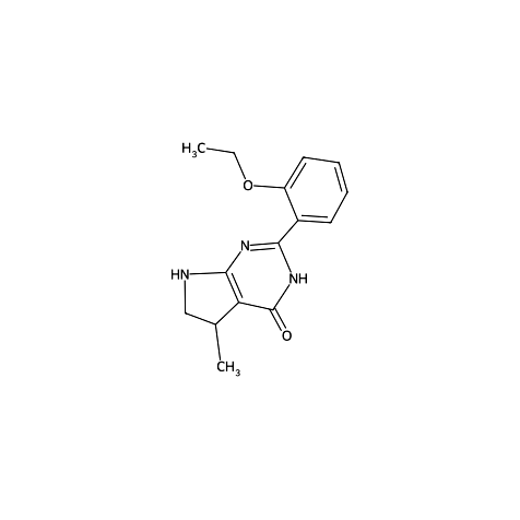 CCOc1ccccc1-c1nc2c(c(=O)[nH]1)C(C)CN2